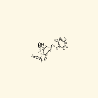 CC(=O)Oc1csc2cc(OCc3ccc(C)nc3C)cc(CO)c12